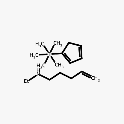 C=CCCCNCC.[CH3][Ti]([CH3])([CH3])([CH3])([CH3])[C]1=CC=CC1